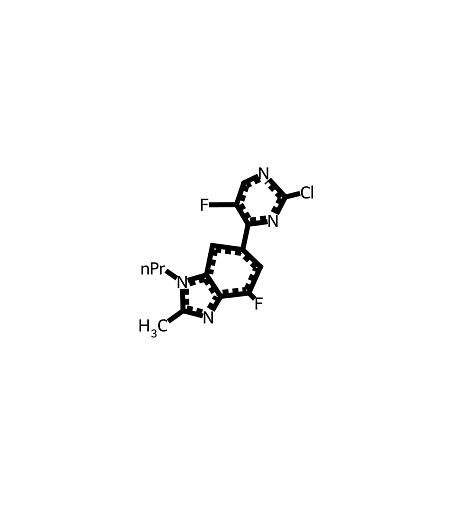 CCCn1c(C)nc2c(F)cc(-c3nc(Cl)ncc3F)cc21